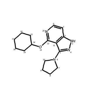 c1cc2[nH]nc(N3CCCC3)c2c(OC2CCCCC2)n1